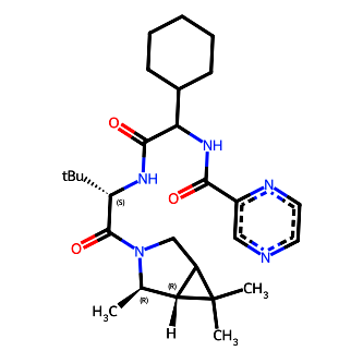 C[C@@H]1[C@@H]2C(CN1C(=O)[C@@H](NC(=O)C(NC(=O)c1cnccn1)C1CCCCC1)C(C)(C)C)C2(C)C